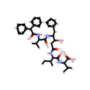 CCC(C)C(NC(=O)CC(O)C(Cc1ccccc1)NC(=O)C(NC(=O)C(c1ccccc1)c1ccccc1)C(C)C)C(=O)NC(C(=O)O)C(C)C